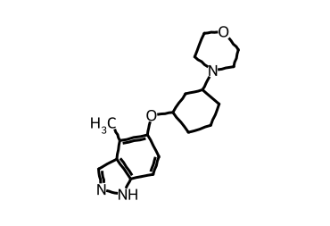 Cc1c(OC2CCCC(N3CCOCC3)C2)ccc2[nH]ncc12